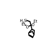 CCOC(C[SiH3])(OCC)C1CC2C=CC1C2